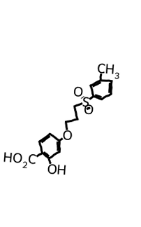 Cc1cccc(S(=O)(=O)CCCOc2ccc(C(=O)O)c(O)c2)c1